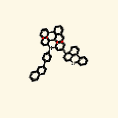 c1ccc(-c2cccc3cccc(-c4ccccc4N(c4ccc(-c5ccc6ccccc6c5)cc4)c4cccc(-c5ccc6c7c(cccc57)-c5ccccc5O6)c4)c23)cc1